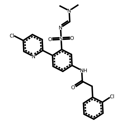 CN(C)/C=N/S(=O)(=O)c1cc(NC(=O)Cc2ccccc2Cl)ccc1-c1ccc(Cl)cn1